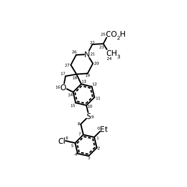 CCc1cccc(Cl)c1CSc1ccc2c(c1)OCC21CCN(CC(C)C(=O)O)CC1